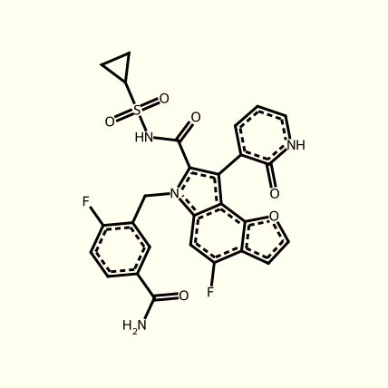 NC(=O)c1ccc(F)c(Cn2c(C(=O)NS(=O)(=O)C3CC3)c(-c3ccc[nH]c3=O)c3c4occc4c(F)cc32)c1